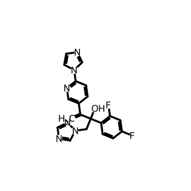 C=C(c1ccc(-n2ccnc2)nc1)C(O)(Cn1cncn1)c1ccc(F)cc1F